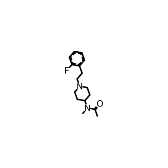 CC(=O)N(C)C1CCN(CCc2ccccc2F)CC1